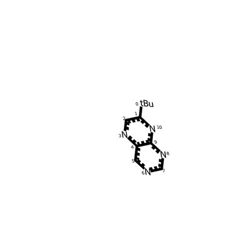 CC(C)(C)c1cnc2cncnc2n1